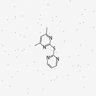 Cc1cc(C)nc(Sc2ncccn2)n1